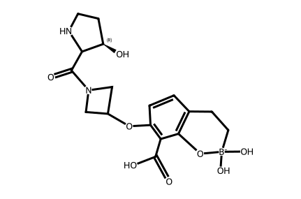 O=C(O)c1c(OC2CN(C(=O)C3NCC[C@H]3O)C2)ccc2c1O[B-](O)(O)CC2